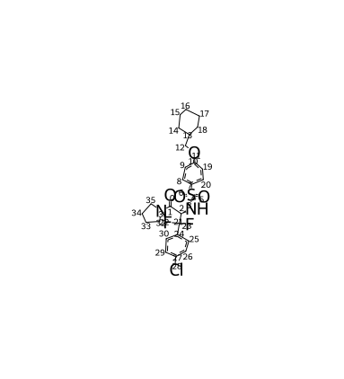 O=C([C@@H](NS(=O)(=O)c1ccc(OCC2CCCCC2)cc1)C(F)(F)c1ccc(Cl)cc1)N1CCCC1